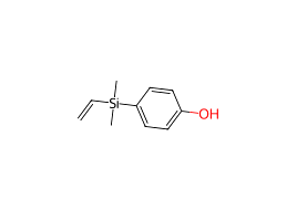 C=C[Si](C)(C)c1ccc(O)cc1